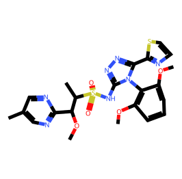 COc1cccc(OC)c1-n1c(NS(=O)(=O)C(C)C(OC)c2ncc(C)cn2)nnc1-c1nccs1